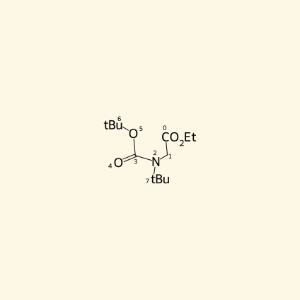 CCOC(=O)CN(C(=O)OC(C)(C)C)C(C)(C)C